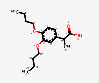 CCCCOc1ccc(C(C)C(=O)O)cc1OCCCC